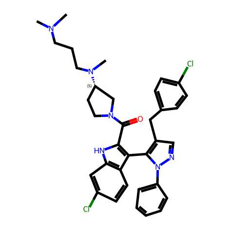 CN(C)CCCN(C)[C@H]1CCN(C(=O)c2[nH]c3cc(Cl)ccc3c2-c2c(Cc3ccc(Cl)cc3)cnn2-c2ccccc2)C1